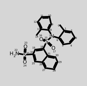 Cc1ccccc1N(c1ccccc1C)S(=O)(=O)c1cc(S(N)(=O)=O)cc2ccccc12